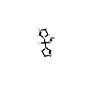 CCC(N=N)(N1C=NCC1)N1C=NCC1